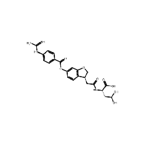 N=C(N)Nc1ccc(C(=O)Oc2ccc3c(c2)OC[C@H]3CC(=O)N[C@@H](CC(O)O)C(=O)O)cc1